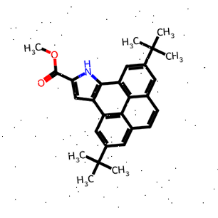 COC(=O)c1cc2c3cc(C(C)(C)C)cc4ccc5cc(C(C)(C)C)cc(c2[nH]1)c5c43